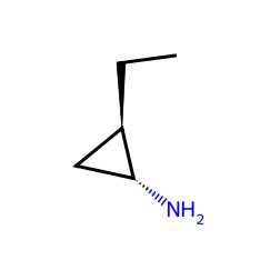 CC[C@@H]1C[C@H]1N